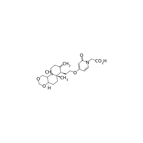 C=C1CCC2[C@]3(C)COCO[C@@H]3CC[C@@]2(C)[C@@H]1CCOc1ccn(CC(=O)O)c(=O)c1